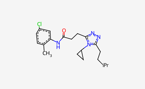 Cc1ccc(Cl)cc1NC(=O)CCc1nnc(CCC(C)C)n1C1CC1